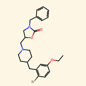 CCOc1ccc(Br)c(CC2CCN(CC3CN(Cc4ccccc4)C(=O)O3)CC2)c1